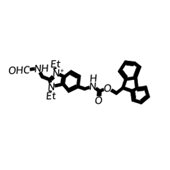 CCn1c(CNC=O)[n+](CC)c2ccc(CNC(=O)OCC3c4ccccc4-c4ccccc43)cc21